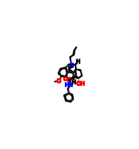 C/C=C/CN1CCC23c4c5ccc(OC)c4O[C@H]2[C@]2(O)CC[C@]3(C=C2C(=O)NCc2ccccc2)[C@H]1C5